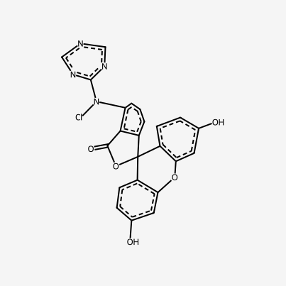 O=C1OC2(c3ccc(O)cc3Oc3cc(O)ccc32)c2cccc(N(Cl)c3ncncn3)c21